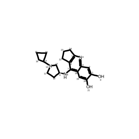 Oc1cc2nc3c(c(N[C@H]4CCN(C5CCC5)C4)c2cc1O)CCC3